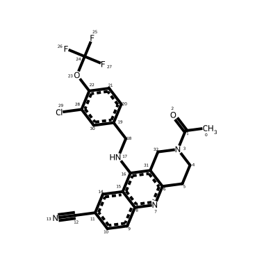 CC(=O)N1CCc2nc3ccc(C#N)cc3c(NCc3ccc(OC(F)(F)F)c(Cl)c3)c2C1